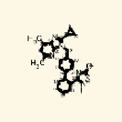 Cc1cc(C)c2nc(C3CC3)n(Cc3ccc(-c4ccccc4-c4nc(=O)s[nH]4)cc3)c2n1